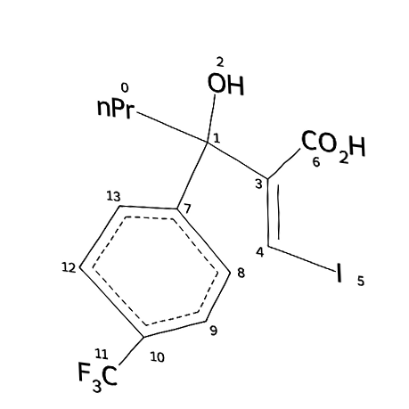 CCCC(O)(C(=CI)C(=O)O)c1ccc(C(F)(F)F)cc1